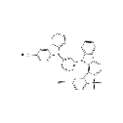 CC1(C)c2ccc(C#N)cc2-c2c1ccc1c3ccccc3n(-c3cccc(-n4c5ccccc5c5cc(C#N)ccc54)c3)c21